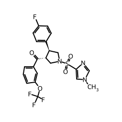 Cn1cnc(S(=O)(=O)N2C[C@H](C(=O)c3cccc(OC(F)(F)F)c3)[C@@H](c3ccc(F)cc3)C2)c1